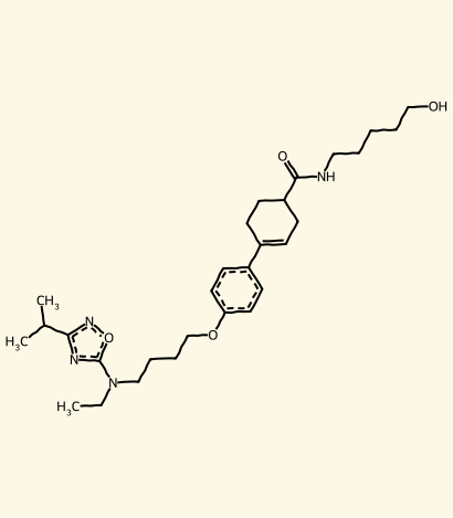 CCN(CCCCOc1ccc(C2=CCC(C(=O)NCCCCCO)CC2)cc1)c1nc(C(C)C)no1